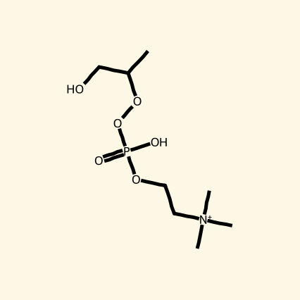 CC(CO)OOP(=O)(O)OCC[N+](C)(C)C